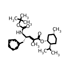 C/C(=C\[C@H](Cc1ccccc1)NC(=O)OC(C)(C)C)C(=O)O[C@@H]1C[C@H](C)CC[C@H]1C(C)C